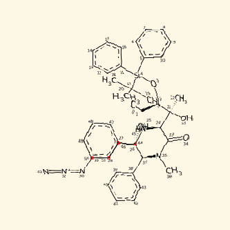 CC[C@@H](O[Si](c1ccccc1)(c1ccccc1)C(C)(C)C)[C@@](C)(O)[C@H](NCCCCN=[N+]=[N-])C(=O)N(C)[C@@H](c1ccccc1)[C@@H](O)c1ccccc1